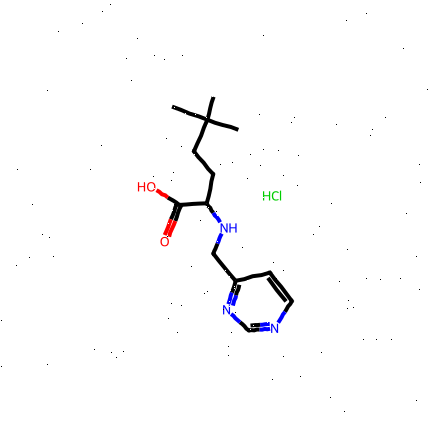 CC(C)(C)CCC(NCc1ccncn1)C(=O)O.Cl